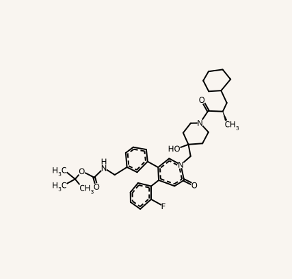 C[C@H](CC1CCCCC1)C(=O)N1CCC(O)(Cn2cc(-c3cccc(CNC(=O)OC(C)(C)C)c3)c(-c3ccccc3F)cc2=O)CC1